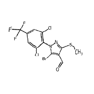 CSc1nn(-c2c(Cl)cc(C(F)(F)F)cc2Cl)c(Br)c1C=O